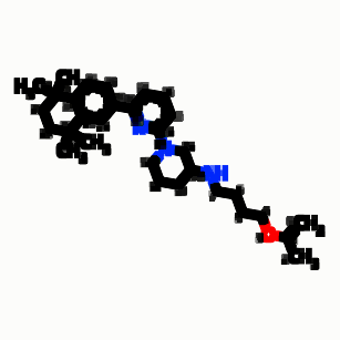 C=C(C)OCCCCNC1CCCN(c2cccc(-c3ccc4c(c3)C(C)(C)CCC4(C)C)n2)C1